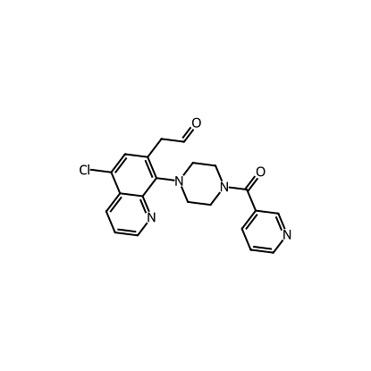 O=CCc1cc(Cl)c2cccnc2c1N1CCN(C(=O)c2cccnc2)CC1